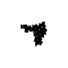 CC(C)CN(c1ccc(OCC(=O)O)cc1NC(=O)Nc1ccc(F)c(F)c1)C1CCCCC1